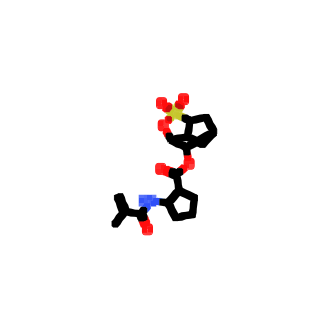 C=C(C)C(=O)NC1CCCC1C(=O)OC1C2CC3C1OS(=O)(=O)C3C2